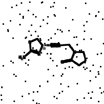 NC1=N[C@@H](C#CCN2CCCC2=O)CO1